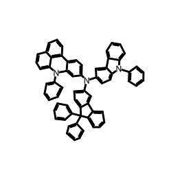 c1ccc(N2c3cc(N(c4ccc5c(c4)-c4ccccc4C5(c4ccccc4)c4ccccc4)c4ccc5c(c4)c4ccccc4n5-c4ccccc4)ccc3-c3cccc4cccc2c34)cc1